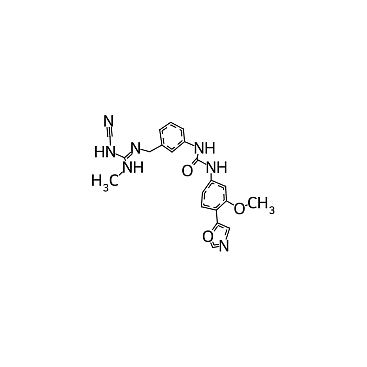 CN/C(=N\Cc1cccc(NC(=O)Nc2ccc(-c3cnco3)c(OC)c2)c1)NC#N